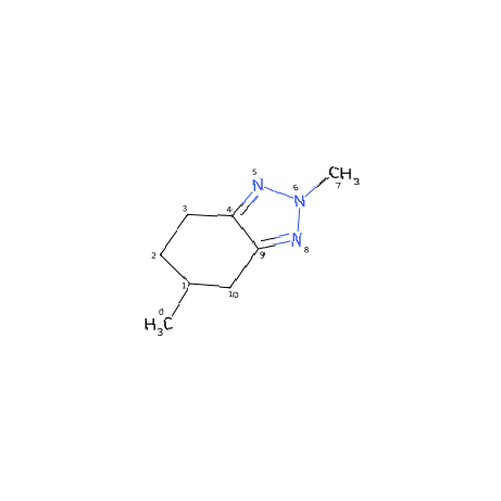 CC1CCc2nn(C)nc2C1